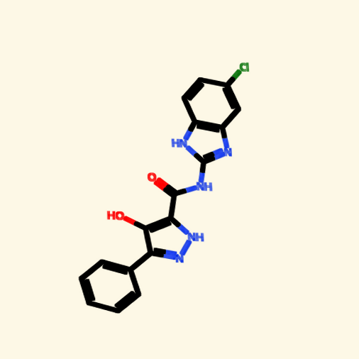 O=C(Nc1nc2cc(Cl)ccc2[nH]1)c1[nH]nc(-c2ccccc2)c1O